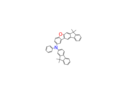 CC1(C)c2ccccc2-c2ccc(N(c3ccccc3)c3ccc4oc5cc6c(cc5c4c3)-c3ccccc3C6(C)C)cc21